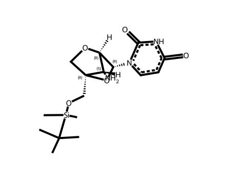 CC(C)(C)[Si](C)(C)OC[C@@]12CO[C@@H]([C@H](n3ccc(=O)[nH]c3=O)O1)[C@@H]2N